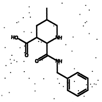 CC1CNC(C(=O)NCc2ccccc2)C(C(=O)O)C1